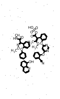 CNC(=O)/C(=N/OC)c1ccccc1Oc1ccccc1.CO/C(C)=C(/C(=O)OS(=O)(=O)O)c1ccccc1Oc1cc(Oc2ccccc2C#N)ncn1.Oc1cccc2cccnc12